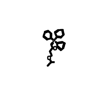 CC(C)OCCC(=O)C=P(c1ccccc1)(c1ccccc1)c1ccccc1